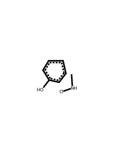 CNCl.Oc1ccccc1